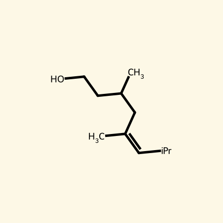 CC(=CC(C)C)CC(C)CCO